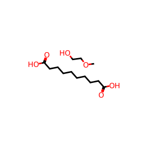 COCCO.O=C(O)CCCCCCCCC(=O)O